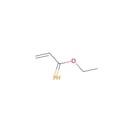 C=CC(=P)OCC